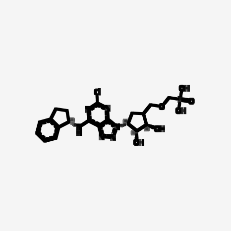 O=P(O)(O)COCC1C[C@@H](n2nnc3c(N[C@H]4CCc5ccccc54)nc(Cl)nc32)[C@H](O)[C@@H]1O